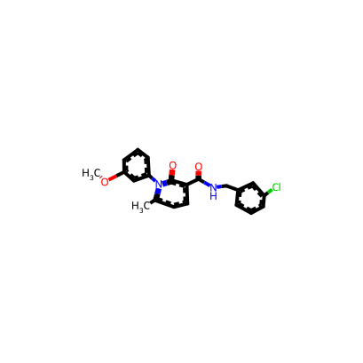 COc1cccc(-n2c(C)ccc(C(=O)NCc3cccc(Cl)c3)c2=O)c1